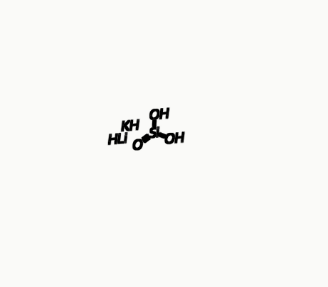 O=[Si](O)O.[KH].[LiH]